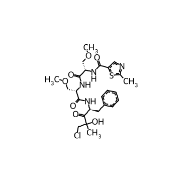 COC[C@H](NC(=O)c1cnc(C)s1)C(=O)N[C@@H](COC)C(=O)N[C@@H](Cc1ccccc1)C(=O)C(C)(O)CCl